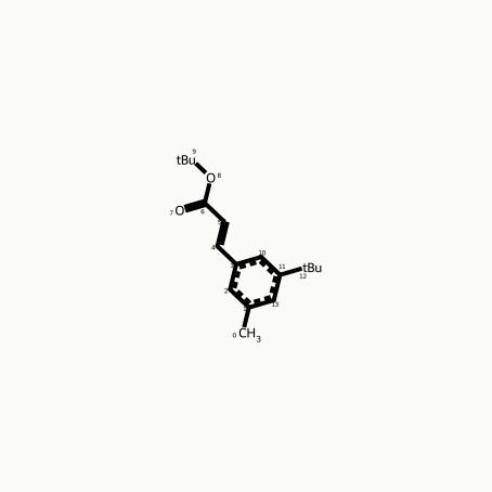 Cc1cc(/C=C/C(=O)OC(C)(C)C)cc(C(C)(C)C)c1